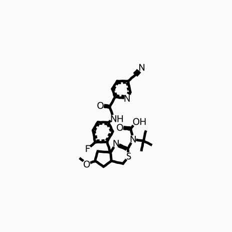 COC1CC2CSC(N(C(=O)O)C(C)(C)C)=NC2(c2cc(NC(=O)c3ccc(C#N)cn3)ccc2F)C1